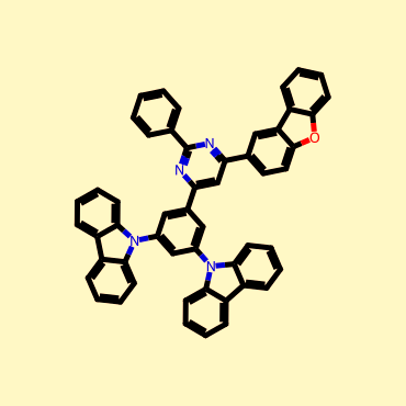 c1ccc(-c2nc(-c3cc(-n4c5ccccc5c5ccccc54)cc(-n4c5ccccc5c5ccccc54)c3)cc(-c3ccc4oc5ccccc5c4c3)n2)cc1